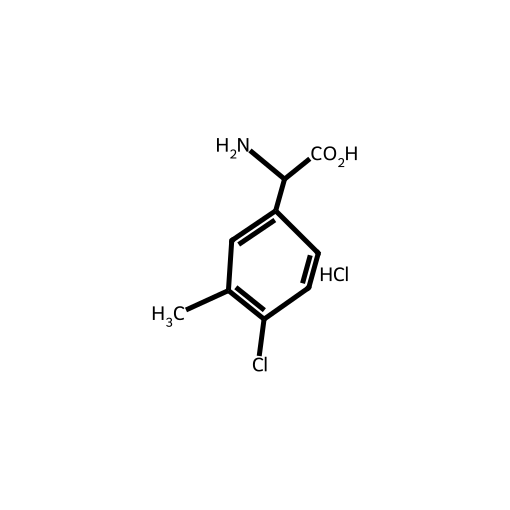 Cc1cc(C(N)C(=O)O)ccc1Cl.Cl